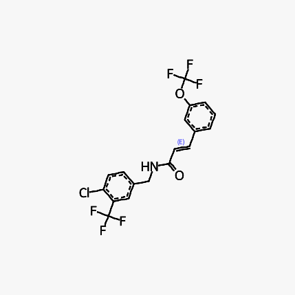 O=C(/C=C/c1cccc(OC(F)(F)F)c1)NCc1ccc(Cl)c(C(F)(F)F)c1